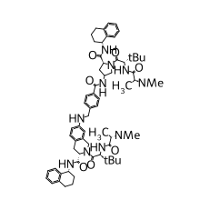 CN[C@@H](C)C(=O)N[C@H](C(=O)N1Cc2cc(NCc3ccc(C(=O)N[C@H]4C[C@@H](C(=O)N[C@@H]5CCCc6ccccc65)N(C(=O)[C@@H](NC(=O)[C@H](C)NC)C(C)(C)C)C4)cc3)ccc2C[C@H]1C(=O)N[C@@H]1CCCc2ccccc21)C(C)(C)C